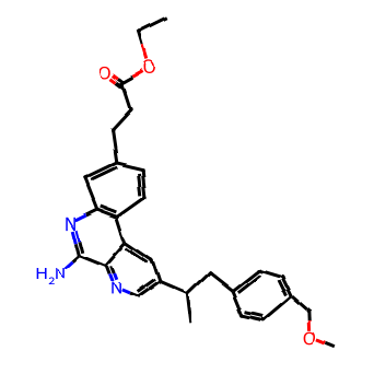 CCOC(=O)CCc1ccc2c(c1)nc(N)c1ncc(C(C)Cc3ccc(COC)cc3)cc12